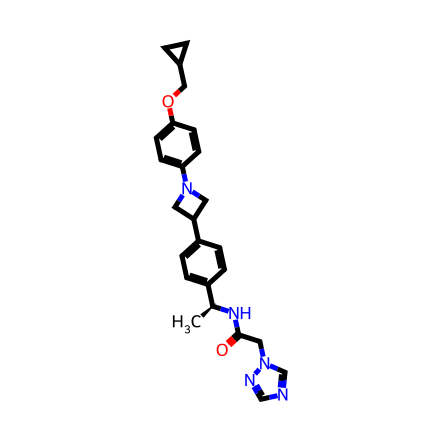 C[C@H](NC(=O)Cn1cncn1)c1ccc(C2CN(c3ccc(OCC4CC4)cc3)C2)cc1